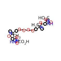 Cc1c(-c2ccc(OCCOCCOCCOc3ccc(-c4c(C)c(C(=O)c5ccc6[nH]c(=O)n(CC(=O)O)c(=O)c6c5)n5ccccc45)cc3)cc2)c2ccccn2c1C(=O)c1ccc2[nH]c(=O)n(CC(=O)O)c(=O)c2c1